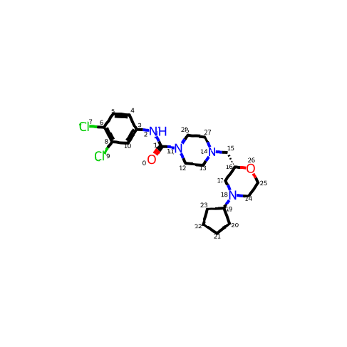 O=C(Nc1ccc(Cl)c(Cl)c1)N1CCN(C[C@H]2CN(C3CCCC3)CCO2)CC1